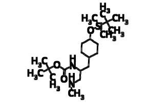 CNCC(CC1CCC(O[Si](C)(C)C(C)(C)C)CC1)NC(=O)OC(C)(C)C